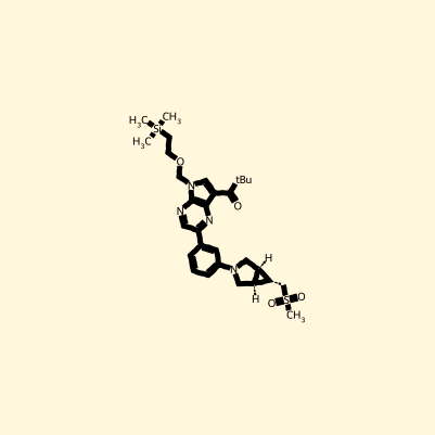 CC(C)(C)C(=O)c1cn(COCC[Si](C)(C)C)c2ncc(-c3cccc(N4C[C@@H]5[C@H](C4)[C@H]5CS(C)(=O)=O)c3)nc12